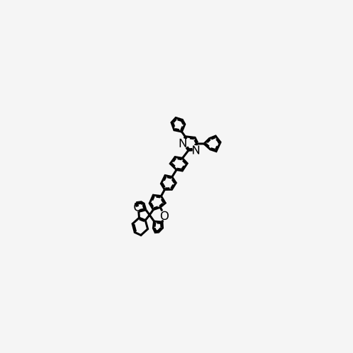 C1=CC2=C(CC1)C1(c3ccccc3Oc3cc(-c4ccc(-c5ccc(-c6nc(-c7ccccc7)cc(-c7ccccc7)n6)cc5)cc4)ccc31)c1ccccc12